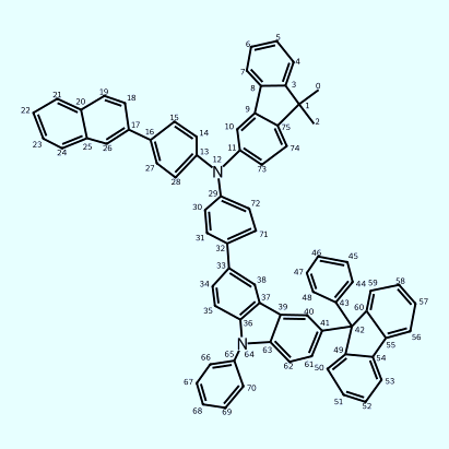 CC1(C)c2ccccc2-c2cc(N(c3ccc(-c4ccc5ccccc5c4)cc3)c3ccc(-c4ccc5c(c4)c4cc(C6(c7ccccc7)c7ccccc7-c7ccccc76)ccc4n5-c4ccccc4)cc3)ccc21